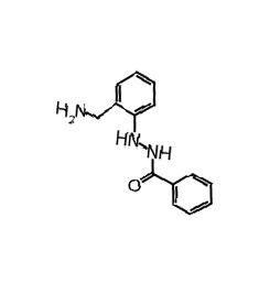 NCc1ccccc1NNC(=O)c1ccccc1